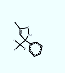 CC1=CC(c2ccccc2)(C(F)(F)F)NO1